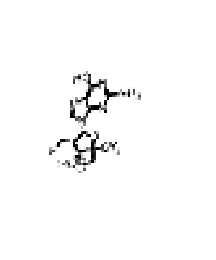 C[C@]1(CO)O[C@@H](n2cnc3c(O)nc(N)nc32)[C@H](CF)[C@@H]1O